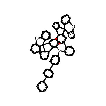 c1ccc(-c2ccc(-c3ccc(N(c4ccccc4-c4ccc5c(c4)C4(c6ccccc6Oc6ccccc64)c4ccccc4-5)c4cccc5c4-c4ccccc4C54c5ccccc5Oc5ccccc54)cc3)cc2)cc1